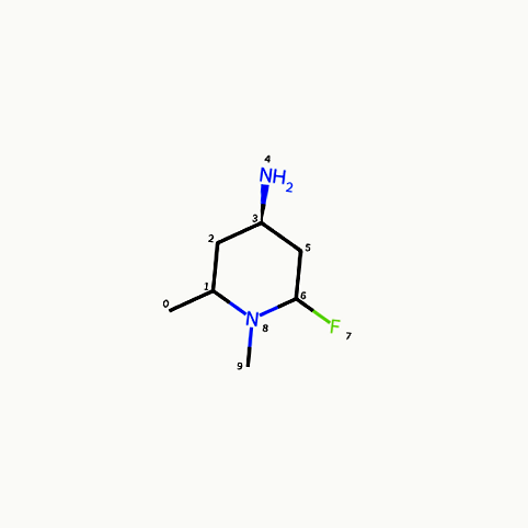 CC1C[C@@H](N)CC(F)N1C